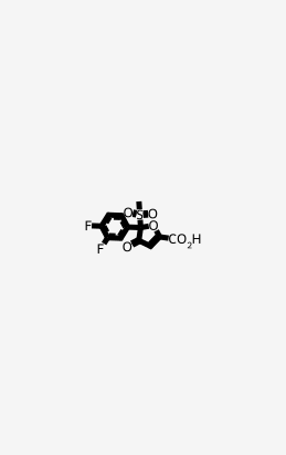 CS(=O)(=O)C1(c2ccc(F)c(F)c2)OC(C(=O)O)=CC1=O